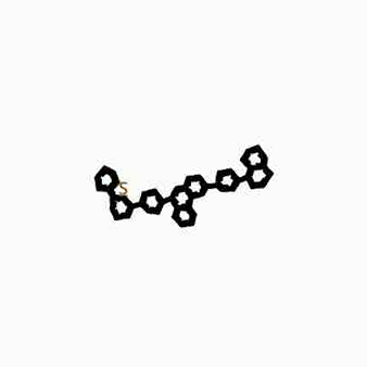 c1ccc2c(-c3ccc(-c4ccc5cc(-c6ccc(-c7cccc8c7sc7ccccc78)cc6)c6ccccc6c5c4)cc3)cccc2c1